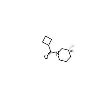 C[C@@H]1CCCN(C(=O)C2CCC2)C1